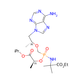 CCOC(=O)C(C)(C)NP(=O)(CO[C@H](C)Cn1cnc2c(N)ncnc21)O[C@@H](C)C(=O)OC(C)C